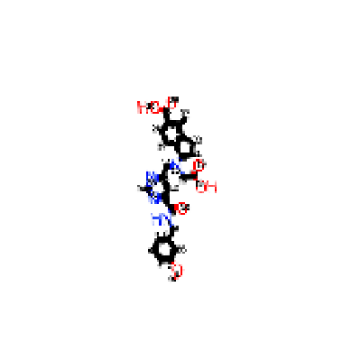 COc1cccc(CNC(=O)c2cc(CN(CC(=O)O)C3CCc4c3ccc(C(=O)O)c4C)ncn2)c1